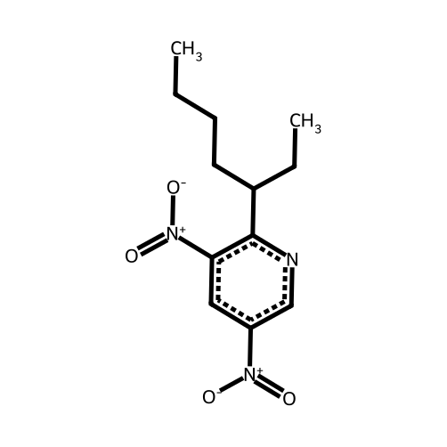 CCCCC(CC)c1ncc([N+](=O)[O-])cc1[N+](=O)[O-]